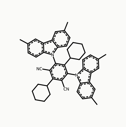 Cc1ccc2c(c1)c1cc(C)ccc1n2-c1c(C#N)c(C2CCCCC2)c(C#N)c(-n2c3ccc(C)cc3c3cc(C)ccc32)c1C1CCCCC1